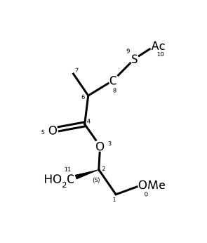 COC[C@H](OC(=O)C(C)CSC(C)=O)C(=O)O